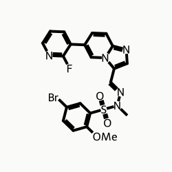 COc1ccc(Br)cc1S(=O)(=O)N(C)/N=C/c1cnc2ccc(-c3cccnc3F)cn12